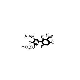 CC(=O)Nc1cc(-c2c(F)cc(Cl)c(C(F)F)c2F)nc(OC(=O)O)c1Cl